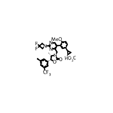 COc1ccc(C2C[C@H]2C(=O)O)cc1-c1cnc(N2CC(F)(F)C2)nc1CN1C(=O)O[C@H](c2cc(C)cc(C(F)(F)F)c2)[C@@H]1C